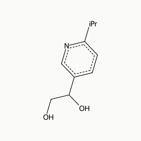 CC(C)c1ccc(C(O)CO)cn1